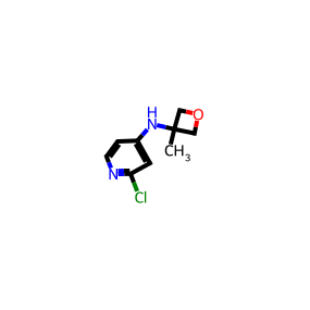 CC1(Nc2ccnc(Cl)c2)COC1